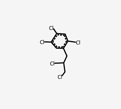 ClCC(Cl)Cc1cc(Cl)c(Cl)cc1Cl